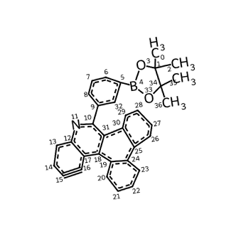 CC1(C)OB(c2cccc(-c3nc4ccc#cc4c4c5ccccc5c5ccccc5c34)c2)OC1(C)C